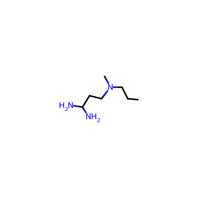 CCCN(C)CCC(N)N